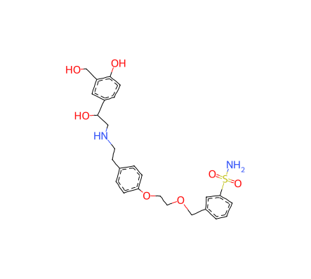 NS(=O)(=O)c1cccc(COCCOc2ccc(CCNCC(O)c3ccc(O)c(CO)c3)cc2)c1